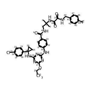 CC(C)(CNC(=O)c1ccc(Nc2nc(NC3(c4ccc(Cl)cc4)CC3)nc(OCC(F)(F)F)n2)cc1)NC(=O)C(=O)NCc1ccc(F)cc1